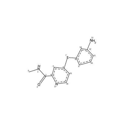 CNC(=O)c1cc(Sc2cccc(N)c2)ccn1